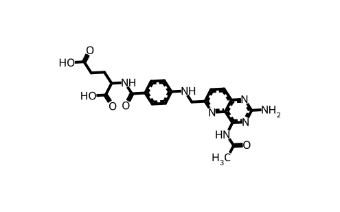 CC(=O)Nc1nc(N)nc2ccc(CNc3ccc(C(=O)NC(CCC(=O)O)C(=O)O)cc3)nc12